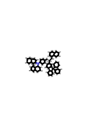 c1ccc(C2(c3ccccc3)c3ccccc3-c3ccc([C@@H](Cc4ccc(N5c6ccc7ccccc7c6-c6cccc7cccc5c67)cc4)Cc4cccc5ccccc45)cc32)cc1